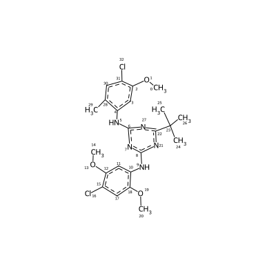 COc1cc(Nc2nc(Nc3cc(OC)c(Cl)cc3OC)nc(C(C)(C)C)n2)c(C)cc1Cl